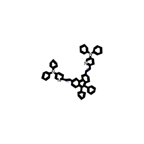 C(=C\c1ccc(N(c2ccccc2)c2ccccc2)cn1)/c1ccc2c(-c3ccccc3)c(-c3ccccc3)c3ccc(/C=C/c4ccc(N(c5ccccc5)c5ccccc5)cn4)cc3c2c1